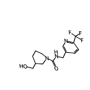 O=C(NCc1ccc(C(F)(F)F)nc1)N1CCCC(CO)C1